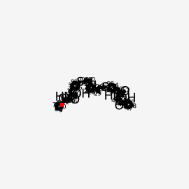 CC(=CC(=O)c1ccccc1)NC(Cc1ccc(SCCN(C)c2cccc(N(C)CCSc3ccc(CC(NC(C)=CC(=O)c4ccccc4)C(=O)O)cc3)n2)cc1)C(=O)O